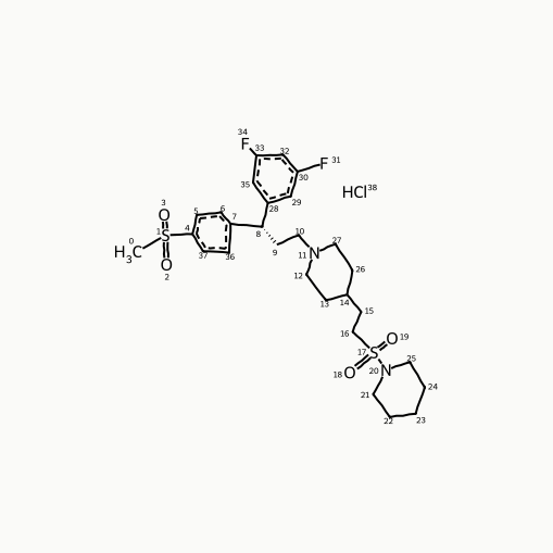 CS(=O)(=O)c1ccc([C@@H](CCN2CCC(CCS(=O)(=O)N3CCCCC3)CC2)c2cc(F)cc(F)c2)cc1.Cl